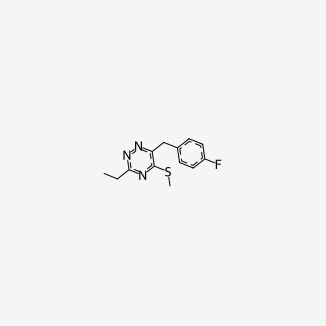 CCc1nnc(Cc2ccc(F)cc2)c(SC)n1